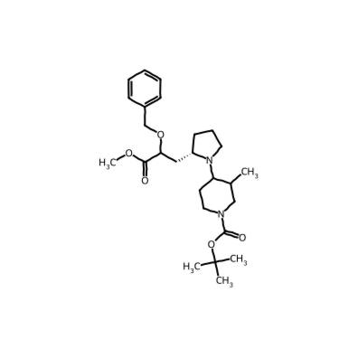 COC(=O)C(C[C@@H]1CCCN1C1CCN(C(=O)OC(C)(C)C)CC1C)OCc1ccccc1